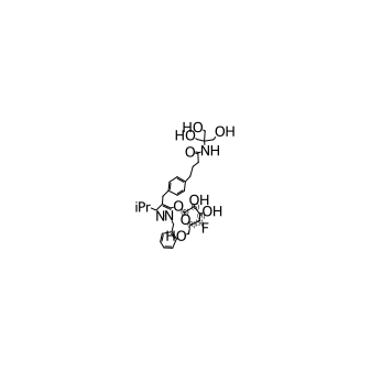 CC(C)c1nn(Cc2ccccc2)c(O[C@@H]2O[C@H](CO)[C@@H](F)[C@H](O)[C@@H]2O)c1Cc1ccc(CCCC(=O)NC(CO)(CO)CO)cc1